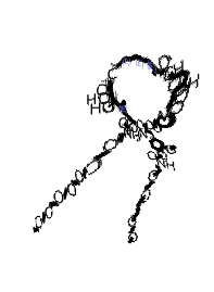 CCOCCOCCOCCOCCOCCOCCOCCNC(=O)O[C@@H]1C[C@@H]([C@H](N)C[C@@H]2CC[C@@H](OC(=O)NCCOCCOCCOCCOC)[C@H](OC)C2)OC(=O)[C@@H]2CCCCN2C(=O)C(=O)[C@]2(O)O[C@@H](CC[C@H]2C)C[C@H](OC)/C(C)=C/C=C/C=C/[C@@H](C)C[C@@H](C)C(=O)[C@H](O)[C@H](O)/C(C)=C/[C@H]1C